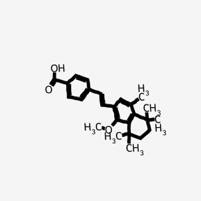 COc1c(/C=C/c2ccc(C(=O)O)cc2)cc(C)c2c1C(C)(C)CCC2(C)C